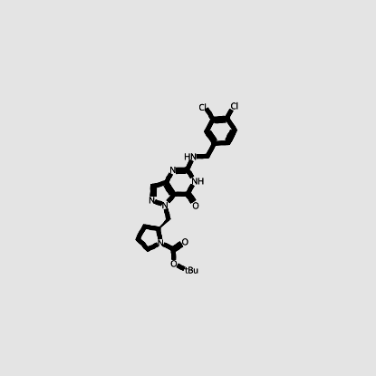 CC(C)(C)OC(=O)N1CCC[C@H]1Cn1ncc2nc(NCc3ccc(Cl)c(Cl)c3)[nH]c(=O)c21